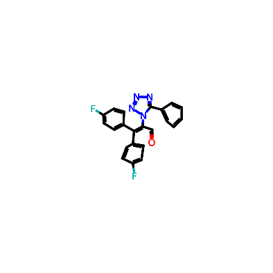 O=CC(=C(c1ccc(F)cc1)c1ccc(F)cc1)n1nnnc1-c1ccccc1